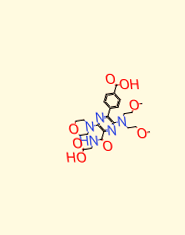 COCCN(CCOC)c1nc(C(=O)NCC(=O)O)c(N2CCOCC2)nc1-c1ccc(C(=O)O)cc1